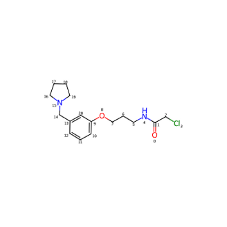 O=C(CCl)NCCCOc1cccc(CN2CCCC2)c1